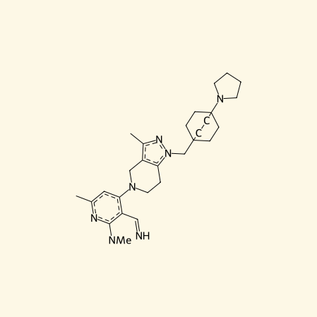 CNc1nc(C)cc(N2CCc3c(c(C)nn3CC34CCC(N5CCCC5)(CC3)CC4)C2)c1C=N